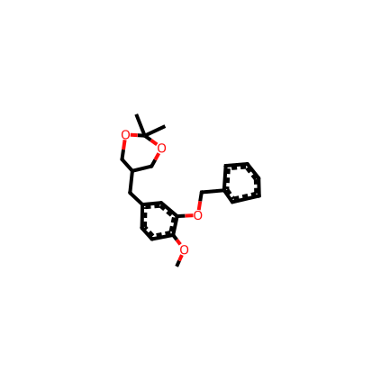 COc1ccc(CC2COC(C)(C)OC2)cc1OCc1ccccc1